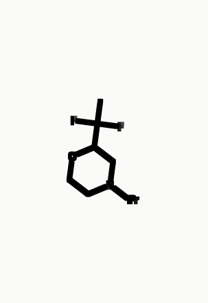 CC(C)N1CCOC(C(C)(F)F)C1